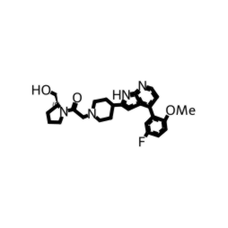 COc1ccc(F)cc1-c1ccnc2[nH]c(C3CCN(CC(=O)N4CCC[C@H]4CO)CC3)cc12